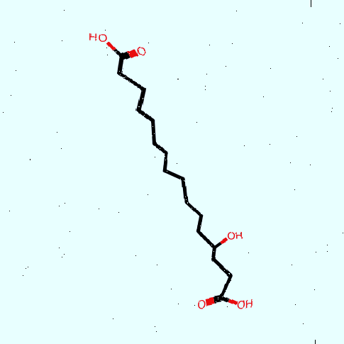 O=C(O)CCCCCCCCCCCC(O)CCC(=O)O